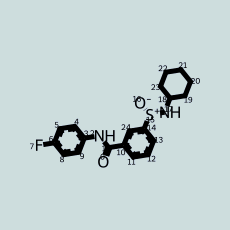 O=C(Nc1ccc(F)cc1)c1cccc([S+]([O-])NC2CCCCC2)c1